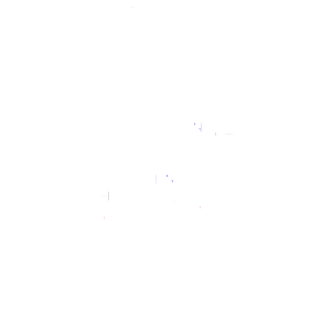 COc1cc(C(=O)NCC(=O)N(C)OCc2csc3c(F)cccc23)ccc1OCCO